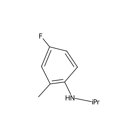 Cc1cc(F)ccc1NC(C)C